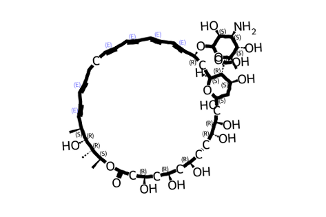 C[C@@H]1[C@H](O)[C@@H](C)/C=C/C=C/CC/C=C/C=C/C=C/C=C/[C@H](OC2O[C@H](C)[C@@H](O)[C@H](N)[C@@H]2O)C[C@@H]2O[C@](O)(C[C@@H](O)[C@H](O)CC[C@@H](O)C[C@@H](O)C[C@@H](O)CC(=O)O[C@H]1C)C[C@H](O)[C@H]2C(=O)O